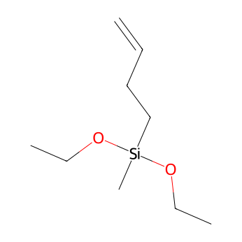 C=CCC[Si](C)(OCC)OCC